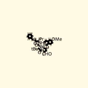 COc1ccc2c(O[C@@H]3C[C@@H](C=O)N(C(=O)C(NC(=O)N[C@H](C(=O)OCc4ccccc4)C(C)C)C(C)(C)C)C3)nccc2c1